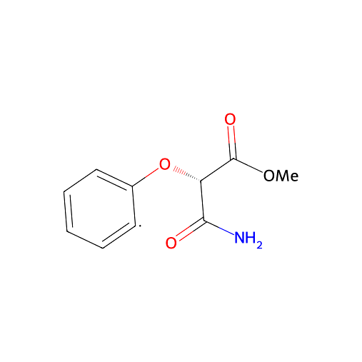 COC(=O)[C@@H](Oc1[c]cccc1)C(N)=O